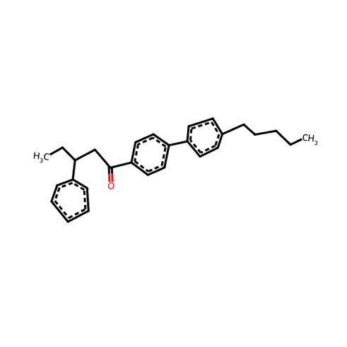 CCCCCc1ccc(-c2ccc(C(=O)CC(CC)c3ccccc3)cc2)cc1